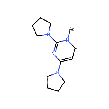 CC(=O)N1[CH]C=C(N2CCCC2)N=C1N1CCCC1